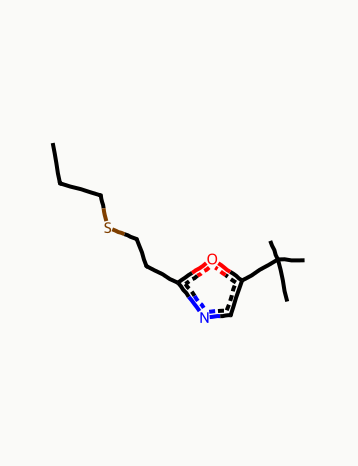 CCCSCCc1ncc(C(C)(C)C)o1